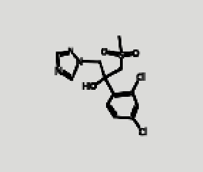 CS(=O)(=O)CC(O)(Cn1cncn1)c1ccc(Cl)cc1Cl